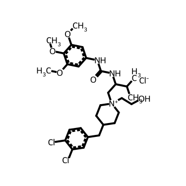 COc1cc(NC(=O)NC(C[N+]2(CCO)CCC(Cc3ccc(Cl)c(Cl)c3)CC2)C(C)C)cc(OC)c1OC.[Cl-]